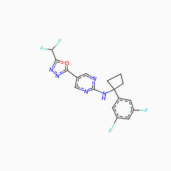 Fc1cc(F)cc(C2(Nc3ncc(-c4nnc(C(F)F)o4)cn3)CCC2)c1